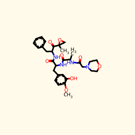 COc1ccc(CC(NC(=O)C(C)NC(=O)CN2CCOCC2)C(=O)NC(Cc2ccccc2)C(=O)C2(C)CO2)cc1O